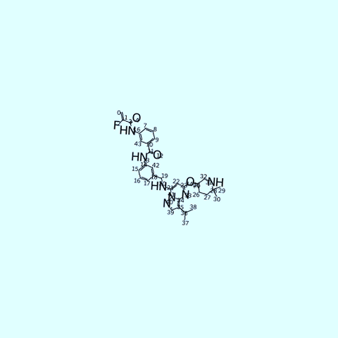 C=C(F)C(=O)Nc1cccc(C(=O)Nc2cccc(CNc3cc(O[C@@H]4CCC(C)(C)NC4)nc4c(C(C)C)cnn34)c2)c1